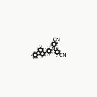 N#Cc1ccc(N(c2ccc(C#N)cc2)c2ccc(-c3ccc4c5c(cccc35)-c3ccccc3-4)cc2)cc1